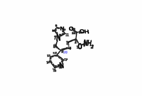 NOC(C/C=C(\Cn1ccnc1)c1cccnc1)C(=O)O